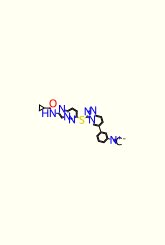 [C-]#[N+]c1cccc(-c2ccc3nnc(Sc4ccc5nc(NC(=O)C6CC6)cn5n4)n3c2)c1